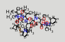 CC[C@H](C)[C@@H]([C@@H](CC(=O)N1CCC[C@@H]1[C@H](OC)[C@@H](C)C(=O)N[C@H](C)C[C@]1(O)C=CC=CC1)OC)N(C)C(=O)[C@@H](NC(=O)[C@H](C(C)C)N(C)C(=O)OCC1(SSc2ccccn2)CCC1)C(C)C